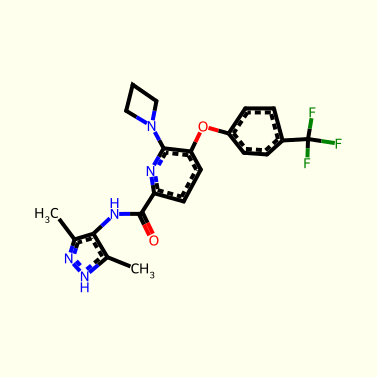 Cc1n[nH]c(C)c1NC(=O)c1ccc(Oc2ccc(C(F)(F)F)cc2)c(N2CCC2)n1